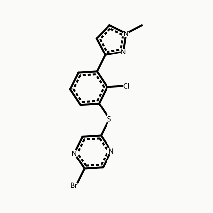 Cn1ccc(-c2cccc(Sc3cnc(Br)cn3)c2Cl)n1